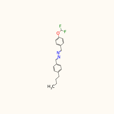 CCCCc1ccc(/C=N/N=C/c2ccc(OC(F)F)cc2)cc1